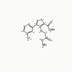 COC(=O)c1scc(-c2cccc(C(F)(F)F)c2)c1OCC(=O)OC(C)(C)C